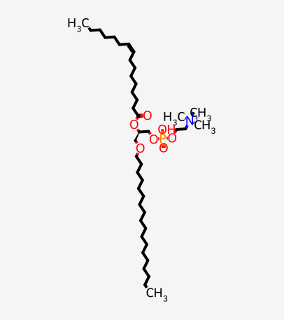 CCCCCC/C=C\CCCCCCCC(=O)O[C@H](COCCCCCCCCCCCCCCCCCC)COP(=O)(O)OCC[N+](C)(C)C